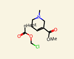 CCCCCCCC(=O)OCCl.COC(=O)C1=CCCN(C)C1